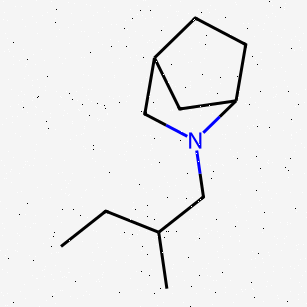 CCC(C)CN1CC2CCC1C2